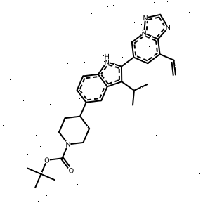 C=Cc1cc(-c2[nH]c3ccc(C4CCN(C(=O)OC(C)(C)C)CC4)cc3c2C(C)C)cn2ncnc12